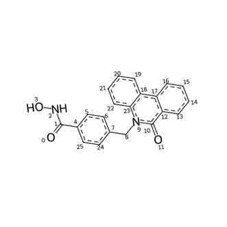 O=C(NO)c1ccc(Cn2c(=O)c3ccccc3c3ccccc32)cc1